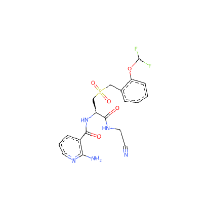 N#CCNC(=O)[C@H](CS(=O)(=O)Cc1ccccc1OC(F)F)NC(=O)c1cccnc1N